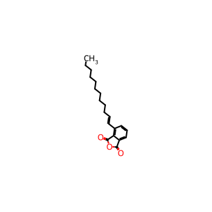 CCCCCCCCCCC=Cc1cccc2c1C(=O)OC2=O